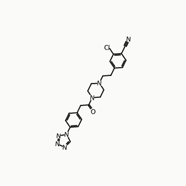 N#Cc1ccc(CCN2CCN(C(=O)Cc3ccc(-n4cnnn4)cc3)CC2)cc1Cl